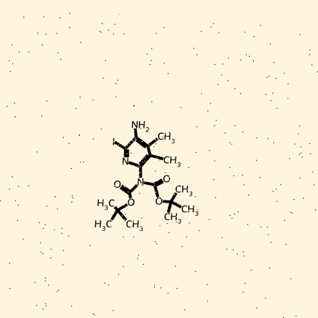 Cc1c(N(C(=O)OC(C)(C)C)C(=O)OC(C)(C)C)nc(I)c(N)c1C